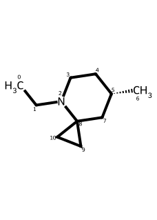 CCN1CC[C@H](C)CC12CC2